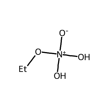 CCO[N+]([O-])(O)O